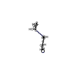 Cc1cn([C@H]2CC(O/C=C/C=C/C=C/C=C/OP(=O)(O)OCCOCCNC(=O)OCC3[C@H]4CC/C=C\CC[C@@H]34)[C@@H](CO)O2)c(=O)[nH]c1=O